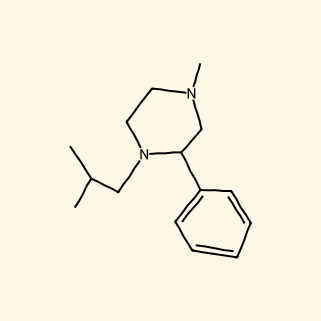 CC(C)CN1CCN(C)CC1c1ccccc1